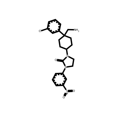 NCC1(c2cccc(Cl)c2)CCC(N2CCN(c3cccc([SH](=O)=O)c3)C2=O)CC1